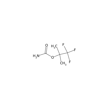 CC(C)(OC(N)=O)C(F)(F)F